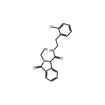 CC(C)CN1C(=O)c2ccccc2C1C(=O)NCCc1ccccc1Cl